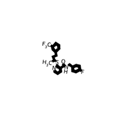 CC(CCc1cccc(C(F)(F)F)c1)Sc1ncccc1C(=O)NCc1ccc(F)cc1